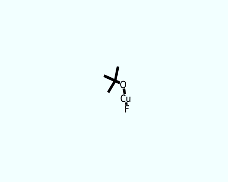 CC(C)(C)[O][Cu][F]